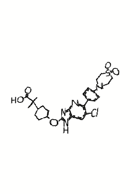 CC(C)(C(=O)O)C1CCC(Oc2nc3nc(-c4ccc(N5CCS(=O)(=O)CC5)cc4)c(Cl)cc3[nH]2)CC1